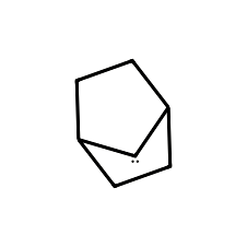 [C]1C2CCC1CC2